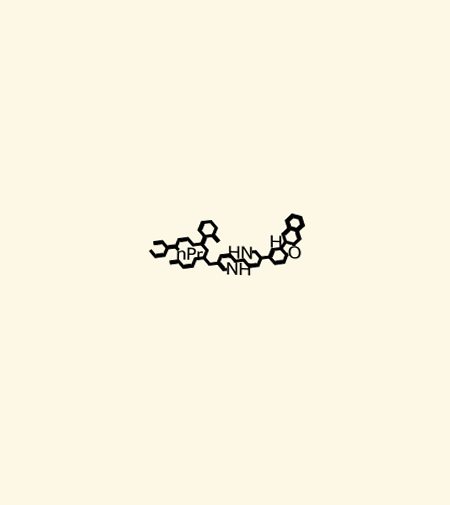 C=C/C=C\CC(CC1=CN[C@H]([C@H]2C=CC(C3=C[C@@H]4C(C=C3)OC3C=c5ccccc5=CC34)CN2)C=C1)C/C(C\C=C/C(CCC)=C(C=C)/C=C\C)=C1/C=CCCC1=C